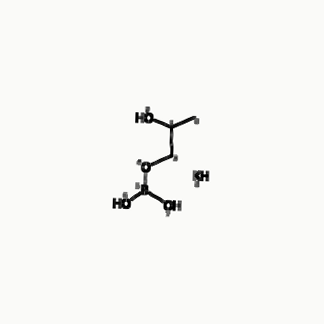 CC(O)COB(O)O.[KH]